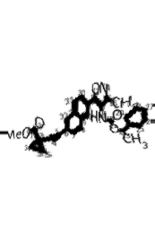 COC(=O)C1(C#Cc2ccc3cc(-c4onc(C)c4NC(=O)O[C@H](C)c4ccccc4)ccc3c2)CC1